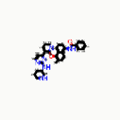 Cc1ccc2c(NC(=O)c3ccccc3)cccc2c1Oc1ncccc1-c1ccnc(N[C@H]2CCCNC2)n1